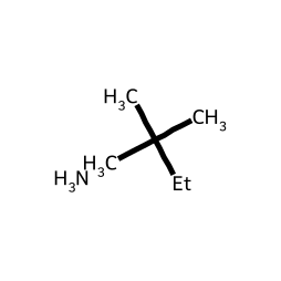 N.[CH2]CC(C)(C)C